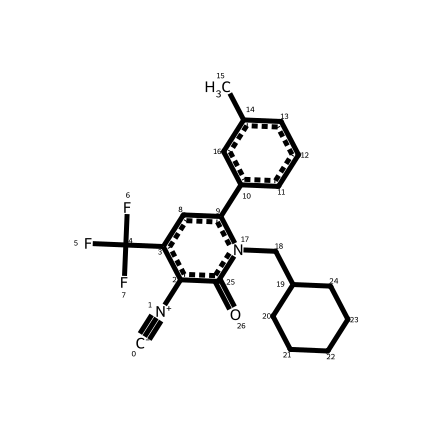 [C-]#[N+]c1c(C(F)(F)F)cc(-c2cccc(C)c2)n(CC2CCCCC2)c1=O